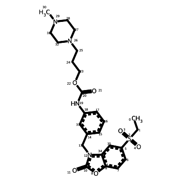 CCS(=O)(=O)c1ccc2oc(=O)n(Cc3cccc(NC(=O)OCCCN4CCN(C)CC4)c3)c2c1